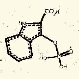 O=C(O)c1[nH]c2ccccc2c1OP(=O)(O)O